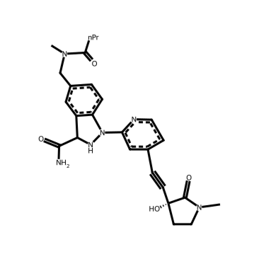 CCCC(=O)N(C)Cc1ccc2c(c1)C(C(N)=O)NN2c1cc(C#C[C@]2(O)CCN(C)C2=O)ccn1